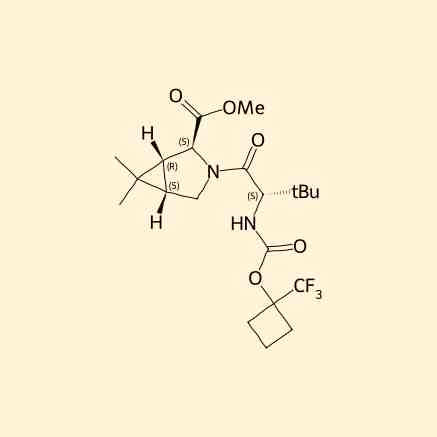 COC(=O)[C@@H]1[C@@H]2[C@H](CN1C(=O)[C@@H](NC(=O)OC1(C(F)(F)F)CCC1)C(C)(C)C)C2(C)C